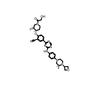 C[C@H]1CN(c2ccc(Nc3ncnc(-c4ccc(O[C@H]5CCN(C(=O)CO)C[C@@H]5F)c(C#N)c4)n3)cc2)CCN1C1COC1